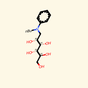 CCCCN(C[C@@H](O)[C@H](O)[C@@H](O)[C@@H](O)CO)c1ccccc1